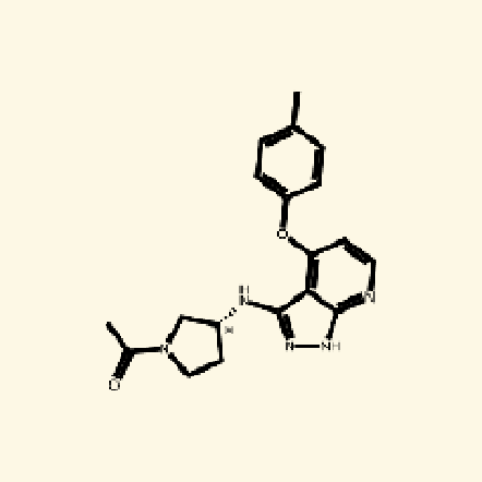 CC(=O)N1CC[C@@H](Nc2n[nH]c3nccc(Oc4ccc(C)cc4)c23)C1